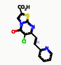 O=C(O)c1cn2c(=O)c(Cl)c(/C=C/c3ccccn3)nc2s1